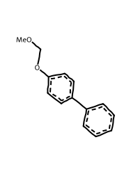 COCOc1ccc(-c2ccccc2)cc1